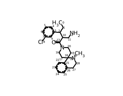 CCC(c1cccc(Cl)c1)C(CN)C(=O)N1CCC2(CC1)c1ccccc1CCN2C